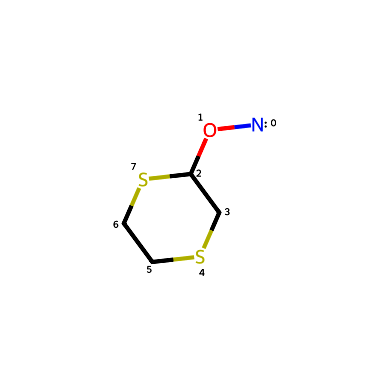 [N]OC1CSCCS1